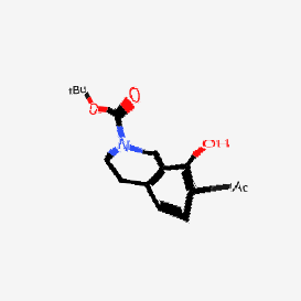 CC(=O)c1ccc2c(c1O)CN(C(=O)OC(C)(C)C)CC2